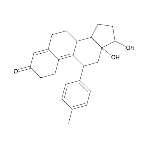 Cc1ccc(C2CC3(O)C(O)CCC3C3CCC4=CC(=O)CCC4=C23)cc1